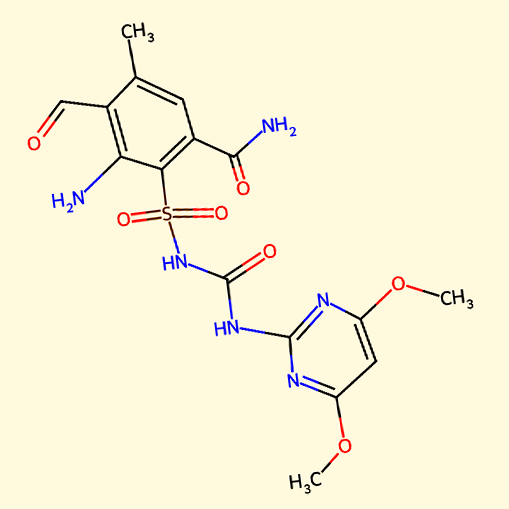 COc1cc(OC)nc(NC(=O)NS(=O)(=O)c2c(C(N)=O)cc(C)c(C=O)c2N)n1